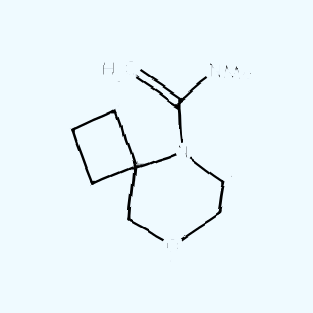 C=C(NC)N1CCOCC12CCC2